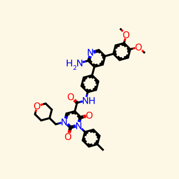 COc1ccc(-c2cnc(N)c(-c3ccc(NC(=O)c4cn(CC5CCOCC5)c(=O)n(-c5ccc(C)cc5)c4=O)cc3)c2)cc1OC